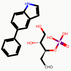 O=CC[C@H](OP(=O)(O)O)[C@H](O)CO.c1ccc(-c2ccc3[nH]ccc3c2)cc1